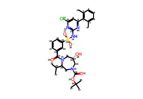 Cc1cccc(C)c1-c1cc(Cl)nc(NS(=O)(=O)c2cccc(C(=O)N3C[C@H](O)CN(C(=O)OC(C)(C)C)CC3C(C)C)c2)n1